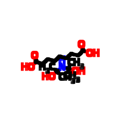 CC(C)(O)NC(C)(C)O.O=C(O)CCCCCCCC(=O)O